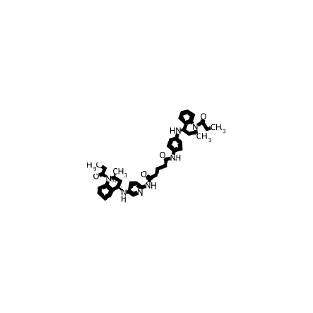 CCC(=O)N1c2ccccc2[C@H](Nc2ccc(NC(=O)CCCC(=O)Nc3ccc(N[C@@H]4C[C@H](C)N(C(=O)CC)c5ccccc54)cn3)cc2)C[C@@H]1C